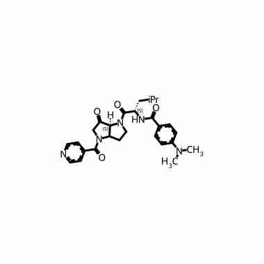 CC(C)C[C@H](NC(=O)c1ccc(N(C)C)cc1)C(=O)N1CCC2[C@H]1C(=O)CN2C(=O)c1ccncc1